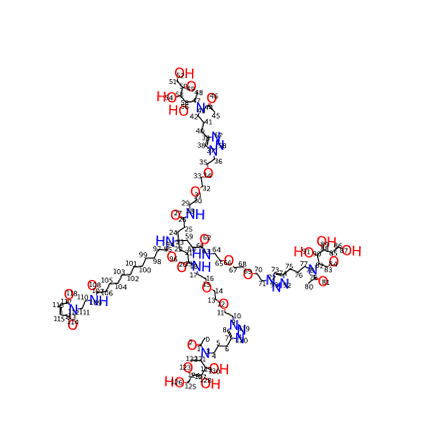 CC(=O)N(CCCc1cn(CCOCCOCCNC(=O)CCC(CCC(=O)NCCOCCOCCn2cc(CCCN(C(C)=O)[C@H]3CO[C@H](CO)[C@H](O)[C@@H]3O)nn2)(CCC(=O)NCCOCCOCCn2cc(CCCN(C(C)=O)[C@H]3CO[C@H](CO)[C@H](O)[C@@H]3O)nn2)NC(=O)CCCCCCCCCCC(=O)NCCN2C(=O)C=CC2=O)nn1)[C@H]1CO[C@H](CO)[C@H](O)[C@@H]1O